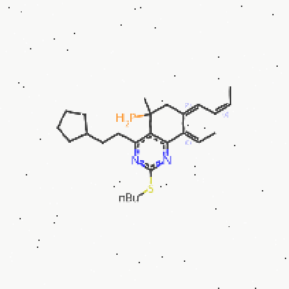 C\C=C/C=C1/CC(C)(P)c2c(CCC3CCCC3)nc(SCCCC)nc2/C1=C/C